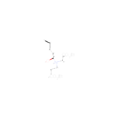 C=CCCC(=O)N(CCC(=O)OCC)CC(=O)OCC